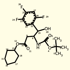 CC(C)(C)OC(=O)NC(CC(=O)OC1CCCCC1)C(O)c1cc(F)c(F)cc1F